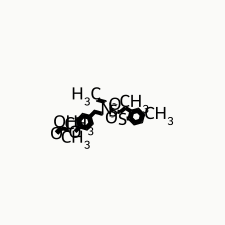 CCCN(CCc1ccc(OC(C)(C)C(=O)O)cc1)S(=O)(=O)C1Sc2ccc(C)cc2C1C